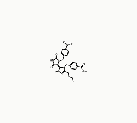 CCCCC1=NC(C)/C(=C2\C(=O)NC(=O)N2Cc2ccc([N+](=O)[O-])cc2)N1Cc1ccc(C(=O)OC)cc1